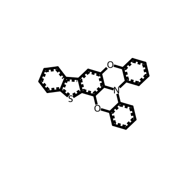 c1ccc2c(c1)Oc1cc3c(sc4ccccc43)c3c1N2c1ccccc1O3